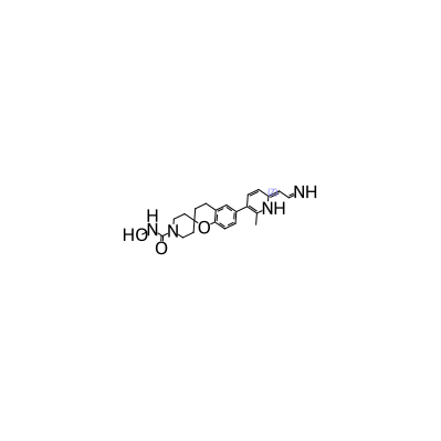 CC1=C(c2ccc3c(c2)CCC2(CCN(C(=O)NO)CC2)O3)C=C/C(=C/C=N)N1